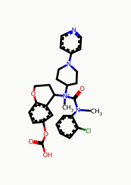 CN(C(=O)[N+](C)(C1CCN(c2ccncc2)CC1)C1CCOc2ccc(OC(=O)O)cc21)c1ccccc1Cl